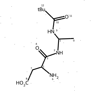 CC(NC(=O)C(N)CC(=O)O)NC(=O)C(C)(C)C